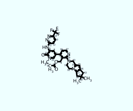 CC(=O)OCc1c(-c2cc(Nc3ccc(C(F)(F)F)nn3)c(=O)n(C)c2)ccnc1N1CCn2c(cc3c2CC(C)(C)C3)C1